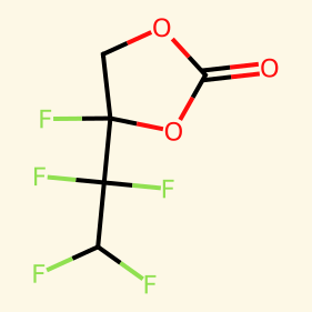 O=C1OCC(F)(C(F)(F)C(F)F)O1